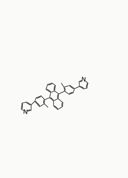 Cc1cc(-c2cccnc2)ccc1-c1c2ccccc2c(-c2ccc(-c3cccnc3)cc2C)c2ccccc12